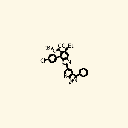 CCOC(=O)[C@@H](OC(C)(C)C)c1c(C)cc2nc(-c3cnc4c(c3)c(C3CCCCC3)nn4C)sc2c1-c1ccc(Cl)cc1